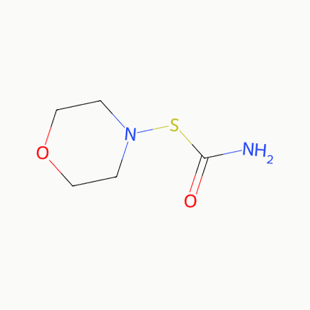 NC(=O)SN1CCOCC1